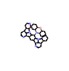 c1ccc2c(c1)Oc1ccccc1N2c1c2c(cc3c4nccc5c6ccncc6n(c13)c54)c1nccc3c4ccccc4n2c31